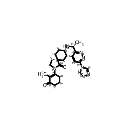 CC1=C(N2CC[C@]3(CC[C@@H](N[C@H](C)c4ccc(-n5cnnn5)nn4)CC3)C2=O)CCCC1=O